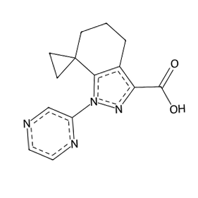 O=C(O)c1nn(-c2cnccn2)c2c1CCCC21CC1